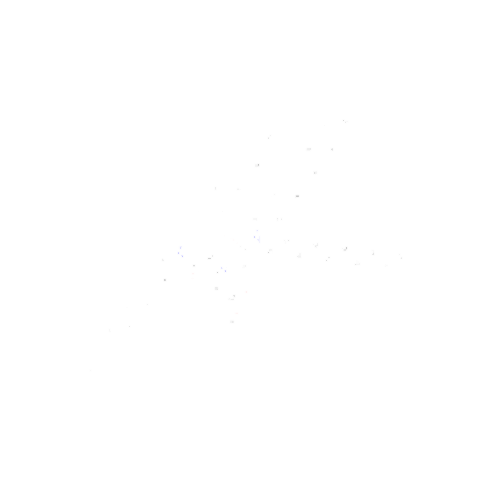 CCCCCCCCCCN(CCCCCCCCCC)C(=O)CN(CC(=O)O)CC(=O)N(CCCCCCCCCC)CCCCCCCCCC